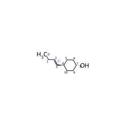 CC/C=C/[C@H]1CC[C@H](O)CC1